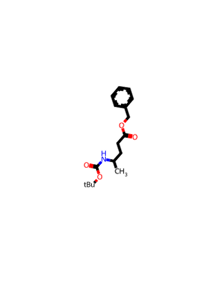 CC(CCC(=O)OCc1ccccc1)NC(=O)OC(C)(C)C